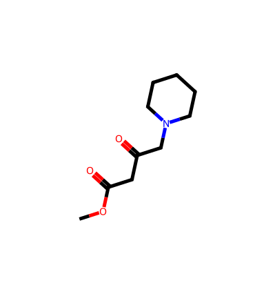 COC(=O)CC(=O)CN1CCCCC1